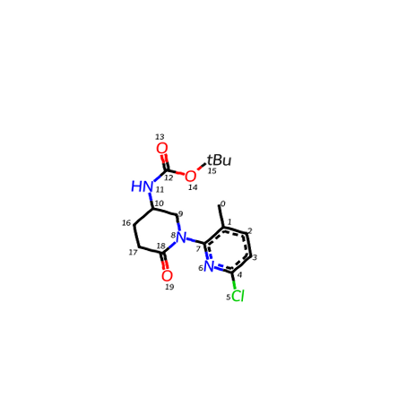 Cc1ccc(Cl)nc1N1CC(NC(=O)OC(C)(C)C)CCC1=O